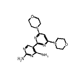 Nc1ncc(-c2nc(N3CCOCC3)cc(N3CCOCC3)n2)c(N)n1